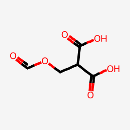 O=COCC(C(=O)O)C(=O)O